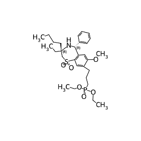 CCCC[C@]1(CC)CS(=O)(=O)c2cc(CCCP(=O)(OCC)OCC)c(OC)cc2[C@@H](c2ccccc2)N1